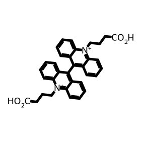 O=C(O)CCC[n+]1c2ccccc2c(-c2c3ccccc3[n+](CCCC(=O)O)c3ccccc23)c2ccccc21